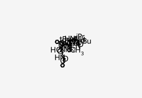 CCCC[C@H](NC(=O)[C@H](CC(C)C)NC(=O)[C@@H](NC(=O)[C@H](Cc1ccccc1C)NC(=O)[C@@H](COCc1ccccc1)NC(=O)[C@H](CO)NC(=O)CCCNC(=O)OCc1ccccc1)C(C)(C)C)C(=O)C(N)=O